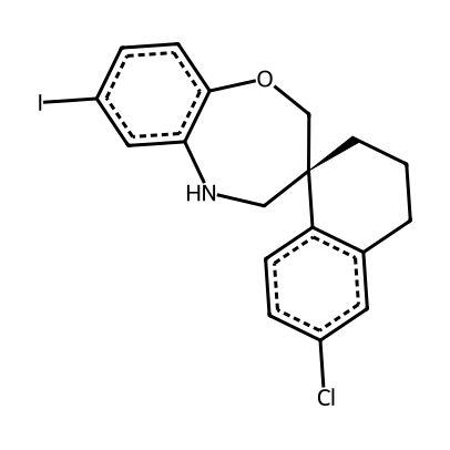 Clc1ccc2c(c1)CCC[C@]21CNc2cc(I)ccc2OC1